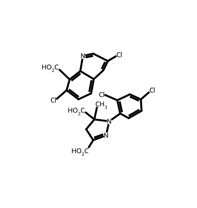 CC1(C(=O)O)CC(C(=O)O)=NN1c1ccc(Cl)cc1Cl.O=C(O)c1c(Cl)ccc2cc(Cl)cnc12